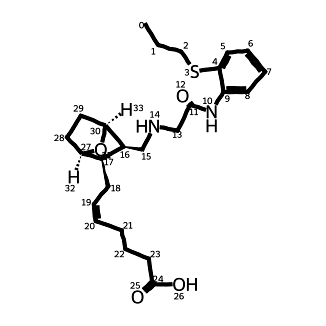 CCCSc1ccccc1NC(=O)CNC[C@H]1[C@@H](C/C=C\CCCC(=O)O)[C@H]2CC[C@@H]1O2